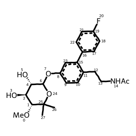 CO[C@@H]1[C@@H](O)[C@H](O)C(Oc2ccc(CCNC(C)=O)c(-c3ccc(F)cc3)c2)OC1(C)C